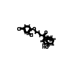 O=C(CCCOc1ccc(Cl)cc1Cl)N1CC2CC3CC1CC(O)(C3)C2